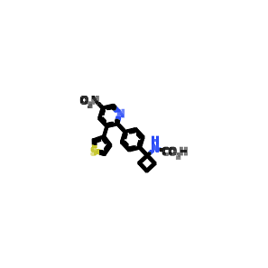 O=C(O)NC1(c2ccc(-c3ncc([N+](=O)[O-])cc3-c3ccsc3)cc2)CCC1